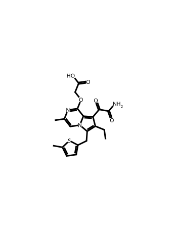 CCc1c(C(=O)C(N)=O)c2c(OCC(=O)O)nc(C)cn2c1Cc1ccc(C)s1